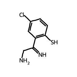 N=C(CN)c1cc(Cl)ccc1S